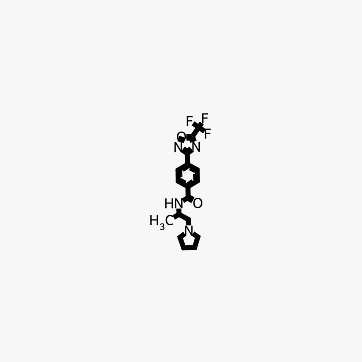 CC(CN1CCCC1)NC(=O)c1ccc(-c2noc(C(F)(F)F)n2)cc1